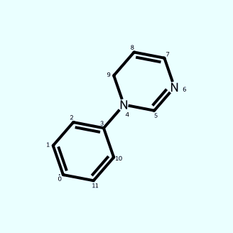 [c]1ccc(N2C=NC=CC2)cc1